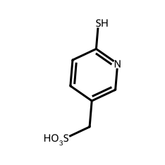 O=S(=O)(O)Cc1ccc(S)nc1